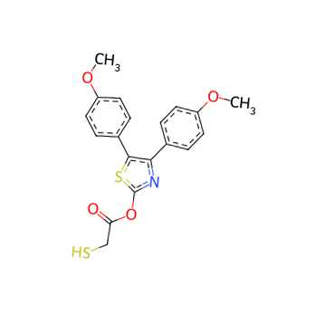 COc1ccc(-c2nc(OC(=O)CS)sc2-c2ccc(OC)cc2)cc1